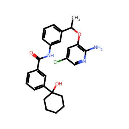 CC(Oc1cc(Cl)cnc1N)c1cccc(NC(=O)c2cccc(C3(O)CCCCC3)c2)c1